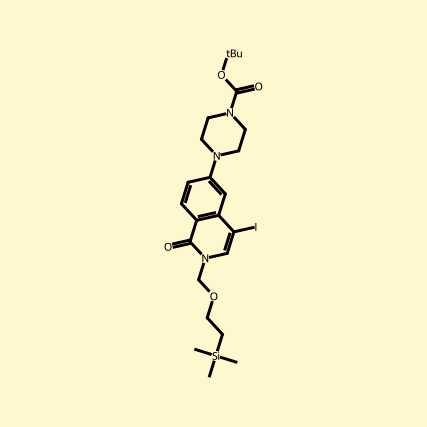 CC(C)(C)OC(=O)N1CCN(c2ccc3c(=O)n(COCC[Si](C)(C)C)cc(I)c3c2)CC1